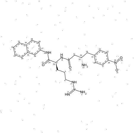 N=C(N)NCCC[C@H](NC(=O)C[C@@H](N)Cc1ccc([N+](=O)[O-])cc1)C(=O)Nc1ccc2ccccc2c1